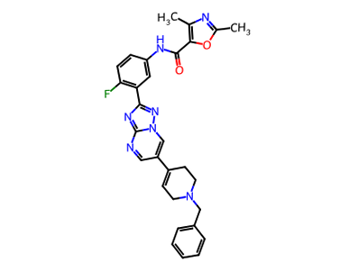 Cc1nc(C)c(C(=O)Nc2ccc(F)c(-c3nc4ncc(C5=CCN(Cc6ccccc6)CC5)cn4n3)c2)o1